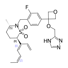 C=C/C(=C\C=C/C)[C@H]1CC[C@H](C)N(Cc2ccc(C3(OCc4nnc[nH]4)COC3)cc2F)S1(=O)=O